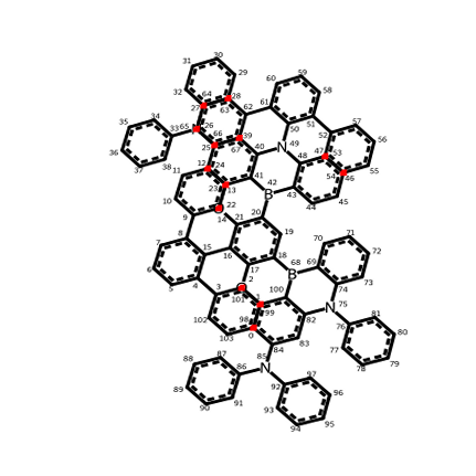 c1ccc(-c2cccc(-c3ccccc3)c2-c2c3c(cc4c2Oc2cc(N(c5ccccc5)c5ccccc5)cc5c2B4c2ccccc2N5c2c(-c4ccccc4)cccc2-c2ccccc2)B2c4ccccc4N(c4ccccc4)c4cc(N(c5ccccc5)c5ccccc5)cc(c42)O3)cc1